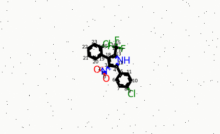 O=[N+]([O-])c1c(-c2ccc(Cl)cc2)[nH]c(C(F)(F)F)c1-c1ccccc1Cl